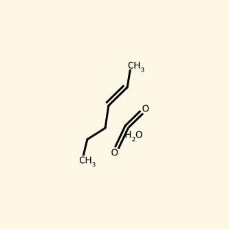 CC=CCCC.O.O=C=O